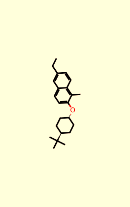 CCc1ccc2c(C)c(O[C@H]3CC[C@H](C(C)(C)C)CC3)ccc2c1